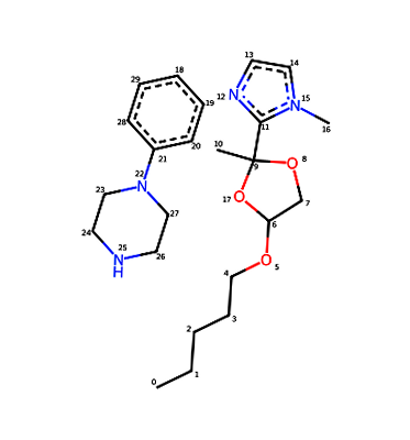 CCCCCOC1COC(C)(c2nccn2C)O1.c1ccc(N2CCNCC2)cc1